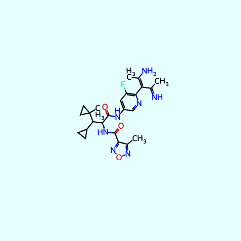 CC(=N)/C(=C(/C)N)c1ncc(NC(=O)[C@@H](NC(=O)c2nonc2C)C(C2CC2)C2(C)CC2)cc1F